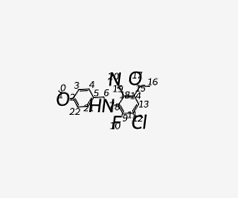 COc1ccc(CNc2c(F)c(Cl)cc(C(C)=O)c2C#N)cc1